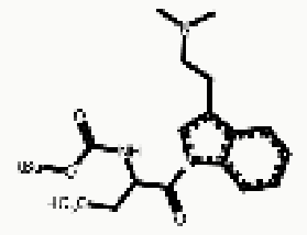 CN(C)CCc1cn(C(=O)C(CC(=O)O)NC(=O)OC(C)(C)C)c2ccccc12